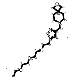 CCOCCOCCOCCn1cc(CN2CCC3(CC2)COC3)nn1